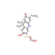 CCC1=CC2=Nc3cc(SOOO)c(O)cc3C(C)(C)C2=CC1=O